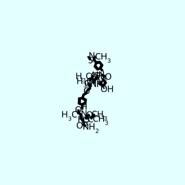 Cc1ncsc1-c1ccc(CNC(=O)[C@@H]2C[C@@H](O)CN2C(=O)C(NC(=O)COCCc2ccc(COC(C)C(CCC(N)=O)NC(=O)OC(C)(C)C)cc2)C(C)(C)C)cc1